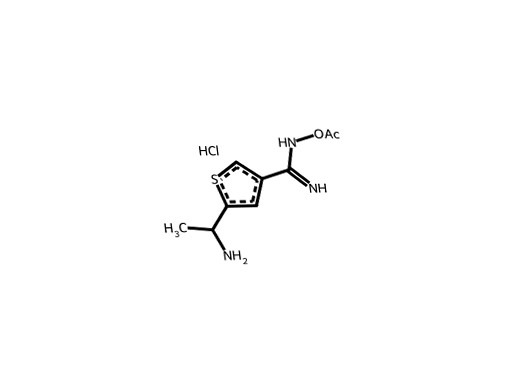 CC(=O)ONC(=N)c1csc(C(C)N)c1.Cl